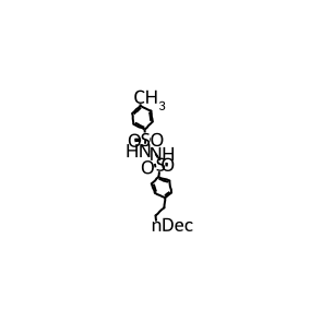 CCCCCCCCCCCCc1ccc(S(=O)(=O)NNS(=O)(=O)c2ccc(C)cc2)cc1